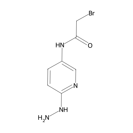 NNc1ccc(NC(=O)CBr)cn1